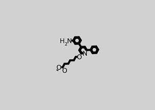 COC(=O)CCCCCOc1cc(-c2cccc(N)c2)cc(-c2ccccc2)n1